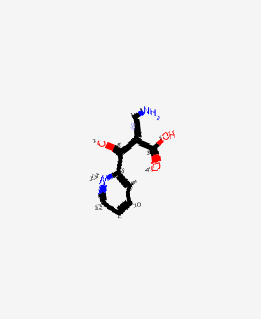 N/C=C(\C(=O)O)C(=O)c1ccccn1